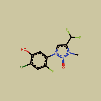 Cn1c(C(F)F)cn(-c2cc(O)c(Cl)cc2F)[n+]1=O